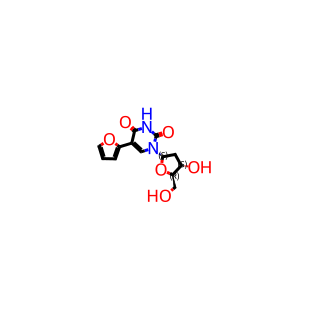 O=c1[nH]c(=O)n([C@@H]2C[C@H](O)[C@@H](CO)O2)cc1-c1ccco1